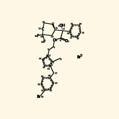 Cc1n(CCOC(=O)[C@](O)(c2ccccc2)[C@@H]2CCCC(F)(F)C2)cc[n+]1Cc1ccc(Br)cc1.[Br-]